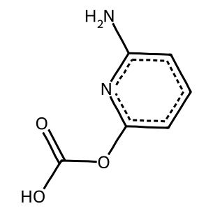 Nc1cccc(OC(=O)O)n1